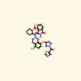 O=C(O)[C@@H]1CCCCC1C(=O)N1CCc2c(Br)ccc(OC3CCN(C(=O)c4cncs4)C3)c2[C@H]1CN1C(=O)c2ccccc2C1=O